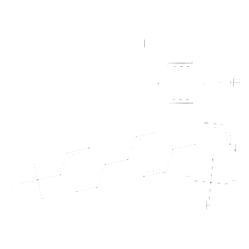 Oc1ccc(-c2onc(C(F)(F)F)c2-c2ccc(-c3ccc(C(F)(F)F)cc3)cc2)c(O)c1